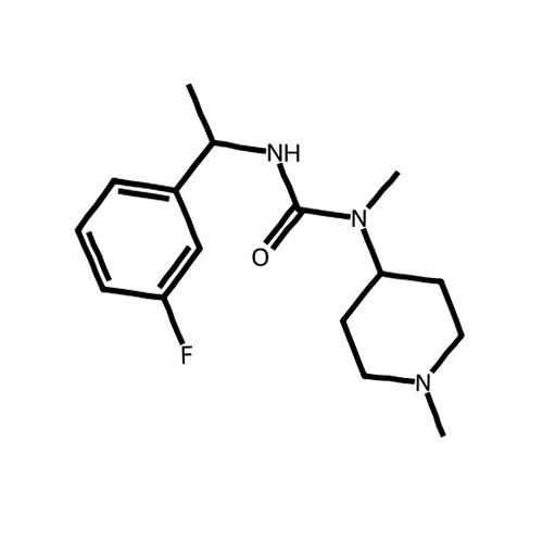 CC(NC(=O)N(C)C1CCN(C)CC1)c1cccc(F)c1